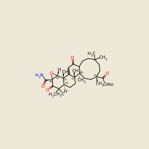 COC(=O)[C@@]1(C)CCC(C)(C)CCC2C(=O)C=C3[C@]4(C)[C@@H](CC[C@@]3(C)[C@]2(C)CC1)C(C)(C)C(=O)[C@]1(C(N)=O)O[C@@H]14